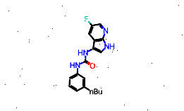 CCCCc1cccc(NC(=O)Nc2c[nH]c3ncc(F)cc23)c1